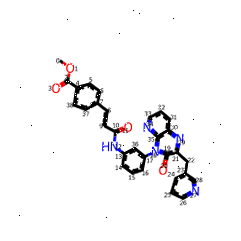 COC(=O)c1ccc(C=CC(=O)Nc2cccc(-n3c(=O)c(Cc4cccnc4)nc4cccnc43)c2)cc1